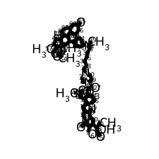 CC[C@@]1(O)C(=O)OCc2c1cc1n(c2=O)Cc2cc3c(CN(C)C)c(OC(=O)N4CCN(CCCCCCN(C)c5ccc(C6CC7(C)[C@@H](CC[C@]7(OC(C)=O)C(C)=O)C7CCC8=CC(=O)CCC8=C67)cc5)CC4)ccc3nc2-1